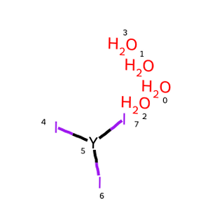 O.O.O.O.[I][Y]([I])[I]